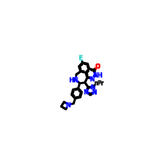 CCCn1ncnc1C1c2n[nH]c(=O)c3cc(F)cc(c23)CNC1c1ccc(CN2CCC2)cc1